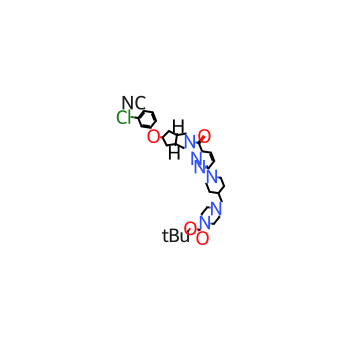 CC(C)(C)OC(=O)N1CCN(CC2CCN(c3ccc(C(=O)N4C[C@H]5CC(Oc6ccc(C#N)c(Cl)c6)C[C@H]5C4)nn3)CC2)CC1